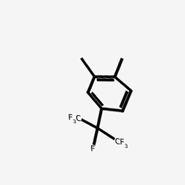 Cc1ccc(C(F)(C(F)(F)F)C(F)(F)F)cc1C